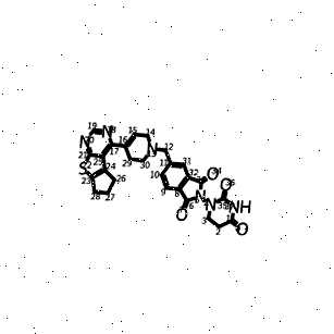 O=C1CCN(N2C(=O)c3ccc(CN4CC=C(c5ncnc6sc7c(c56)CCC7)CC4)cc3C2=O)C(=O)N1